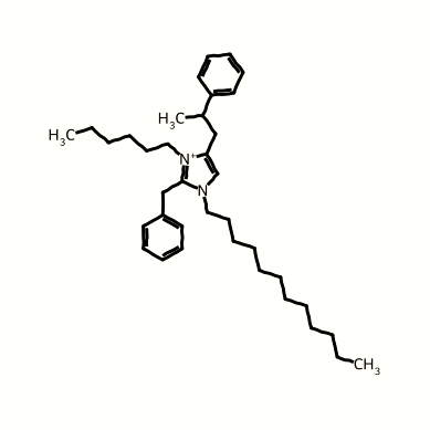 CCCCCCCCCCCCn1cc(CC(C)c2ccccc2)[n+](CCCCCC)c1Cc1ccccc1